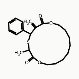 C=C1C(=O)OCCCCCCCCOC(=O)C(C)SC1c1ccccc1